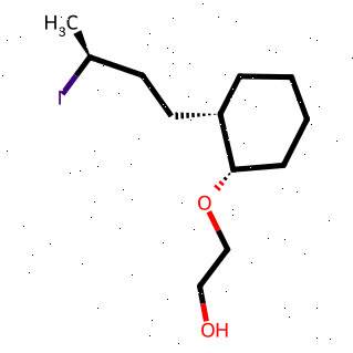 C[C@H](I)CC[C@@H]1CCCC[C@@H]1OCCO